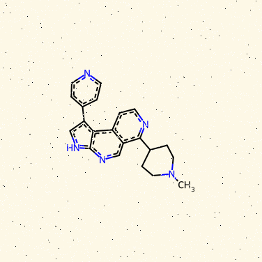 CN1CCC(c2nccc3c2cnc2[nH]cc(-c4ccncc4)c23)CC1